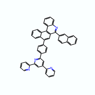 c1ccc(-c2cc(-c3ccc(-c4cc5c(-c6ccc7ccccc7c6)nc6ccccc6c5c5ccccc45)cc3)nc(-c3ccccn3)c2)nc1